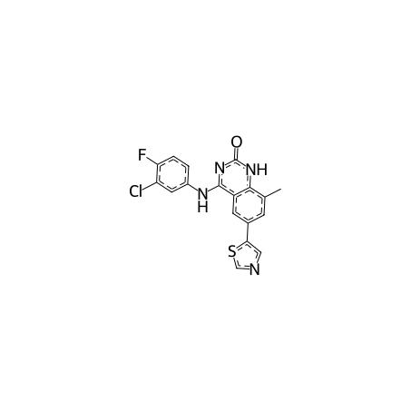 Cc1cc(-c2cncs2)cc2c(Nc3ccc(F)c(Cl)c3)nc(=O)[nH]c12